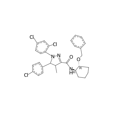 CC1C(C(=O)N[C@@H]2CCCC[C@H]2OCc2ccccc2)=NN(c2ccc(Cl)cc2Cl)C1c1ccc(Cl)cc1